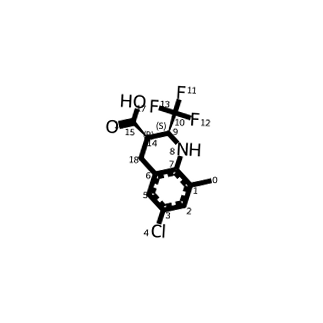 Cc1cc(Cl)cc2c1N[C@H](C(F)(F)F)[C@H](C(=O)O)C2